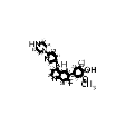 COc1cc(-c2cc3c(Nc4ccc(N5CCNCC5)nc4)[c]cnc3cc2F)cc(Cl)c1O